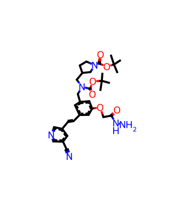 CC(C)(C)OC(=O)N1CCC(CN(Cc2cc(C=Cc3cncc(C#N)c3)cc(OCC(=O)NN)c2)C(=O)OC(C)(C)C)C1